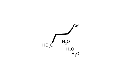 O.O.O.O=C(O)C[CH2][Ge]